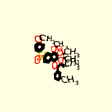 CCCC(Oc1c(OCC)c(OCC)c(OC(C)=O)c2cc([S+]([O-])c3ccc(OC)cc3)ccc12)c1cccc(C)c1